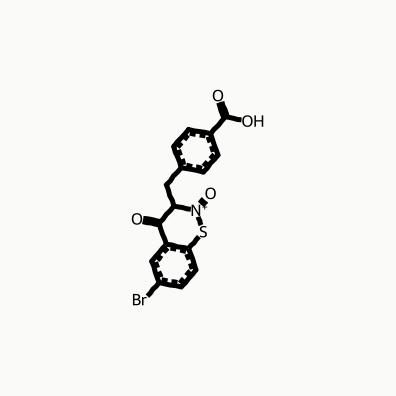 O=C(O)c1ccc(CC2C(=O)c3cc(Br)ccc3S[N+]2=O)cc1